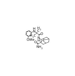 COc1cccc(NC(C)(C)C(=O)NC2C3CC4CC(C3)CC2(C(N)=O)C4)c1